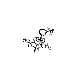 CN(C(C(O)C(=O)O)C(F)(F)F)S(=O)(=O)c1cccc(C(F)(F)F)c1